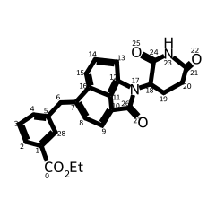 CCOC(=O)c1cccc(Cc2ccc3c4c(cccc24)N(C2CCC(=O)NC2=O)C3=O)c1